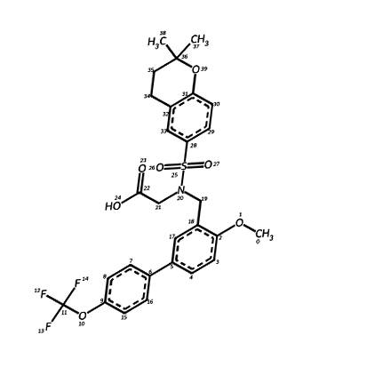 COc1ccc(-c2ccc(OC(F)(F)F)cc2)cc1CN(CC(=O)O)S(=O)(=O)c1ccc2c(c1)CCC(C)(C)O2